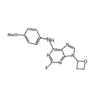 COc1ccc(Nc2nc(F)nc3c2ncn3C2CCO2)cc1